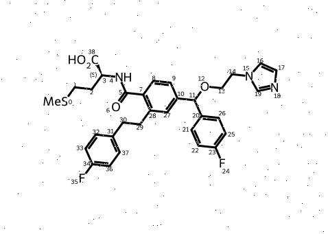 CSCC[C@H](NC(=O)c1ccc(C(OCCn2ccnc2)c2ccc(F)cc2)cc1CCc1ccc(F)cc1)C(=O)O